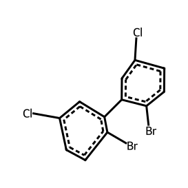 Clc1ccc(Br)c(-c2cc(Cl)ccc2Br)c1